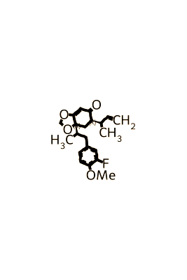 C=CC(C)[C@H]1C[C@]2(C(C)Cc3ccc(OC)c(F)c3)OCOC2=CC1=O